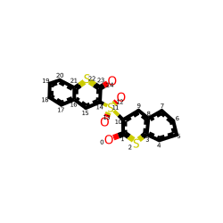 O=c1sc2ccccc2cc1S(=O)(=O)c1cc2ccccc2sc1=O